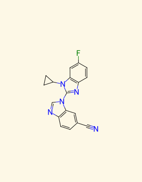 N#Cc1ccc2ncn(-c3nc4ccc(F)cc4n3C3CC3)c2c1